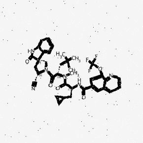 CN(C(=O)[C@H](CC1CC1)NC(=O)c1cc(OC(F)(F)F)c2ncccc2c1)[C@@H](CC(C)(C)C)C(=O)N1C[C@]2(C[C@H]1C#N)C(=O)Nc1ccccc12